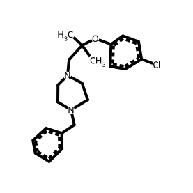 CC(C)(CN1CCN(Cc2ccccc2)CC1)Oc1ccc(Cl)cc1